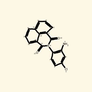 Nc1cc(Cl)ccc1N1C(=O)c2cccc3cccc(c23)C1=O